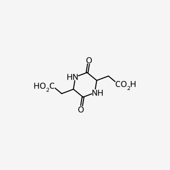 O=C(O)CC1NC(=O)C(CC(=O)O)NC1=O